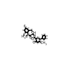 Cc1cc(=O)c(C(=O)NC2CCc3cc(F)cc(F)c3N(C)C2=O)nn1-c1ccccc1